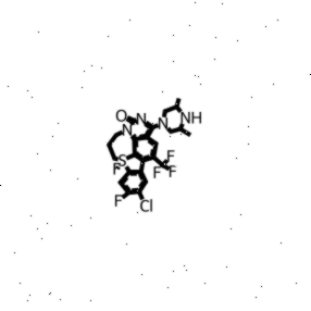 CC1CN(c2nc(=O)n3c4c5c(c(C(F)(F)F)cc24)-c2cc(Cl)c(F)cc2S5(F)CCC3)CC(C)N1